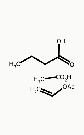 C=COC(C)=O.CC(=O)O.CCCC(=O)O